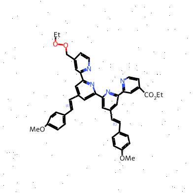 CCOOCc1ccnc(-c2cc(/C=C/c3ccc(OC)cc3)cc(-c3cc(/C=C/c4ccc(OC)cc4)cc(-c4cc(C(=O)OCC)ccn4)n3)n2)c1